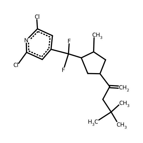 C=C(CC(C)(C)C)C1CC(C)C(C(F)(F)c2cc(Cl)nc(Cl)c2)C1